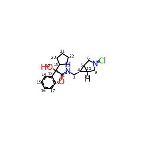 O=C(NC[C@H]1C2CN(Cl)C[C@@H]21)C(O)(c1ccccc1)C1CCCC1